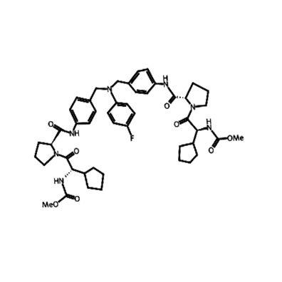 COC(=O)N[C@H](C(=O)N1CCC[C@H]1C(=O)Nc1ccc(CN(Cc2ccc(NC(=O)[C@@H]3CCCN3C(=O)[C@@H](NC(=O)OC)C3CCCC3)cc2)c2ccc(F)cc2)cc1)C1CCCC1